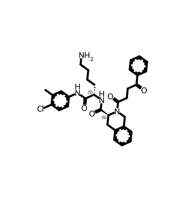 Cc1cc(NC(=O)[C@H](CCCCN)NC(=O)[C@@H]2Cc3ccccc3CN2C(=O)CCC(=O)c2ccccc2)ccc1Cl